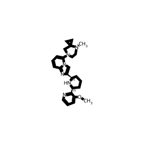 COc1cccnc1[C@@H]1CCC[C@H](c2cn3c(N4CCN(C)C5(CC5)C4)cccc3n2)N1